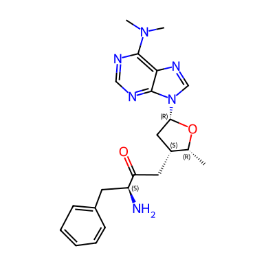 C[C@H]1O[C@@H](n2cnc3c(N(C)C)ncnc32)C[C@H]1CC(=O)[C@@H](N)Cc1ccccc1